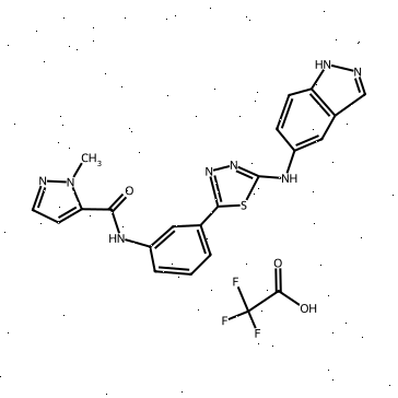 Cn1nccc1C(=O)Nc1cccc(-c2nnc(Nc3ccc4[nH]ncc4c3)s2)c1.O=C(O)C(F)(F)F